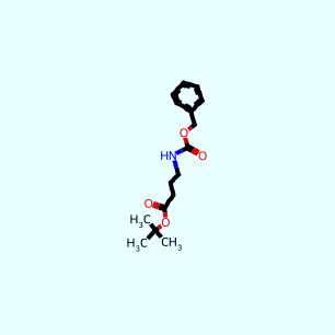 CC(C)(C)OC(=O)CCCNC(=O)OCc1ccccc1